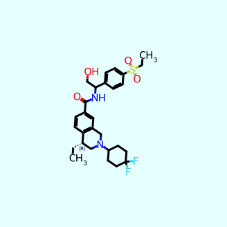 CC[C@H]1CN(C2CCC(F)(F)CC2)Cc2cc(C(=O)NC(CO)c3ccc(S(=O)(=O)CC)cc3)ccc21